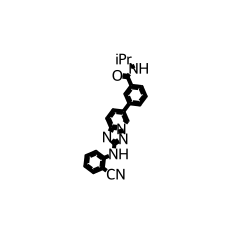 CC(C)NC(=O)c1cccc(-c2ccc3nc(Nc4ccccc4C#N)nn3c2)c1